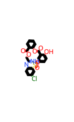 O=C(Oc1ccccc1C(=O)OCC1=Nc2ccc(Cl)cc2S(=O)(=O)N1)c1ccccc1O